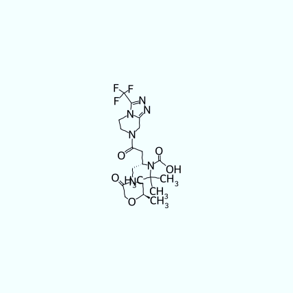 C[C@@H]1CN(C[C@H](CC(=O)N2CCn3c(nnc3C(F)(F)F)C2)N(C(=O)O)C(C)(C)C)C(=O)CO1